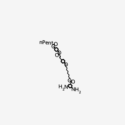 CCCCCC(=O)Oc1ccc(OC(=O)C=Cc2ccc(OCCCCCCCCOC(=O)c3cc(N)cc(N)c3)cc2)cc1